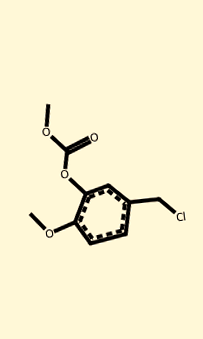 COC(=O)Oc1cc(CCl)ccc1OC